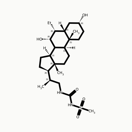 CC[C@H]1[C@@H](O)C2[C@@H]3CC[C@H]([C@H](C)CNC(=O)NS(C)(=O)=O)[C@@]3(C)CC[C@@H]2[C@@]2(C)CC[C@@H](O)C[C@@H]12